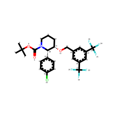 CC(C)(C)OC(=O)N1CCC[C@H](OCc2cc(C(F)(F)F)cc(C(F)(F)F)c2)[C@@H]1c1ccc(Cl)cc1